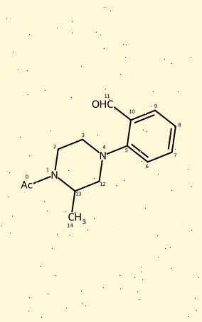 CC(=O)N1CCN(c2ccccc2C=O)CC1C